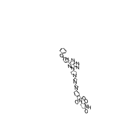 Nc1ncnc2c1c(-c1ccc(Oc3ccccc3)cc1)nn2C1CCN(C2CN(C3CN(c4ccc5c(c4)C(=O)N([C@H]4CCC(=O)NC4=O)C5=O)C3)C2)CC1